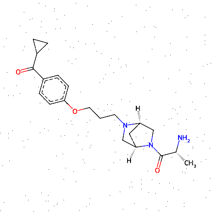 C[C@@H](N)C(=O)N1C[C@H]2C[C@@H]1CN2CCCOc1ccc(C(=O)C2CC2)cc1